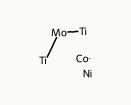 [Co].[Ni].[Ti][Mo][Ti]